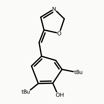 CC(C)(C)c1cc(C=C2C=NCO2)cc(C(C)(C)C)c1O